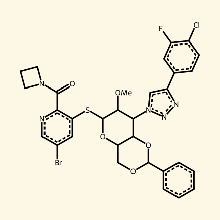 COC1C(Sc2cc(Br)cnc2C(=O)N2CCC2)OC2COC(c3ccccc3)OC2C1n1cc(-c2ccc(Cl)c(F)c2)nn1